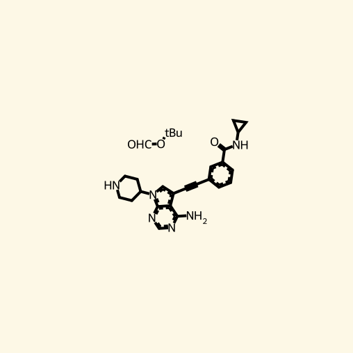 CC(C)(C)OC=O.Nc1ncnc2c1c(C#Cc1cccc(C(=O)NC3CC3)c1)cn2C1CCNCC1